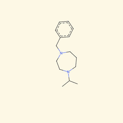 CC(C)N1CCCN(Cc2ccccc2)CC1